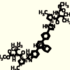 COC(=O)N[C@H](C(=O)N1C[C@@H](C)C[C@H]1c1ncc(-c2ccc(-c3ccc(-c4ccc5nc([C@@H]6C[C@H](C)CN6C(=O)[C@@H](NC(=O)OC)C(C)C)[nH]c5c4)c4c3C3CCC4N3C)cc2)[nH]1)C(C)C